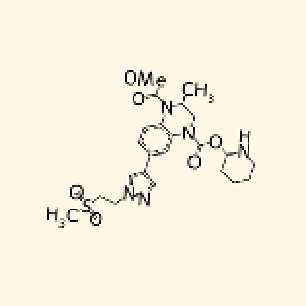 COC(=O)N1c2ccc(-c3cnn(CCS(C)(=O)=O)c3)cc2N(C(=O)OC2CCCCN2)C[C@@H]1C